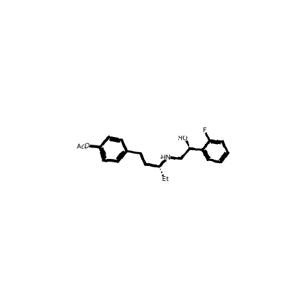 CC[C@H](CCc1ccc(OC(C)=O)cc1)NC[C@@H](O)c1ccccc1F